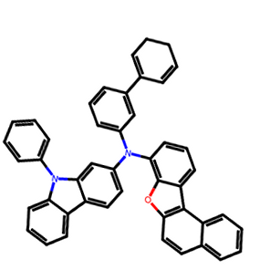 C1=CC(c2cccc(N(c3ccc4c5ccccc5n(-c5ccccc5)c4c3)c3cccc4c3oc3ccc5ccccc5c34)c2)=CCC1